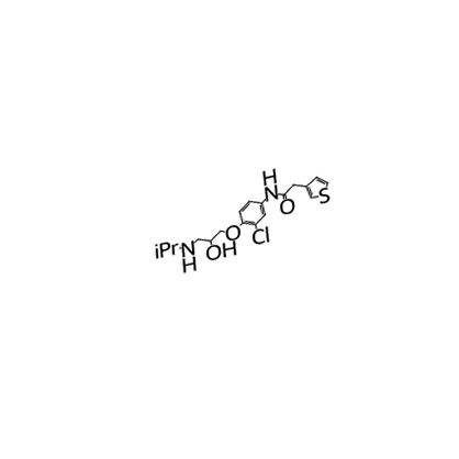 CC(C)NCC(O)COc1ccc(NC(=O)Cc2ccsc2)cc1Cl